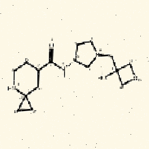 O=C(N[C@@H]1CCN(CC2(O)COC2)C1)C1CCNC2(CC2)C1